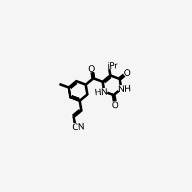 CC1=CC(C(=O)c2[nH]c(=O)[nH]c(=O)c2C(C)C)CC(/C=C/C#N)=C1